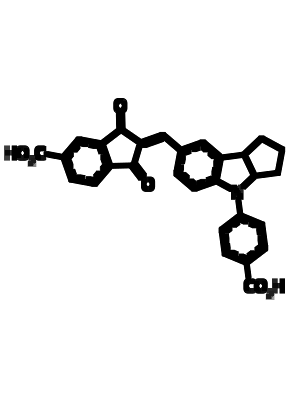 O=C(O)c1ccc(N2c3ccc(/C=C4\C(=O)c5ccc(C(=O)O)cc5C4=O)cc3C3CCCC32)cc1